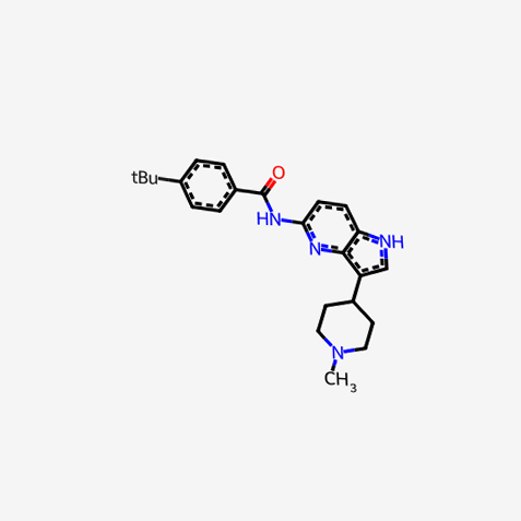 CN1CCC(c2c[nH]c3ccc(NC(=O)c4ccc(C(C)(C)C)cc4)nc23)CC1